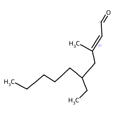 CCCCCC(CC)C/C(C)=C/[C]=O